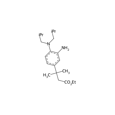 CCOC(=O)CC(C)(C)c1ccc(N(CC(C)C)CC(C)C)c(N)c1